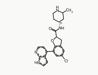 CC1C[C@H](NC(=O)C2Cc3cc(Cl)cc(-c4ccnc5[nH]ccc45)c3O2)CCN1